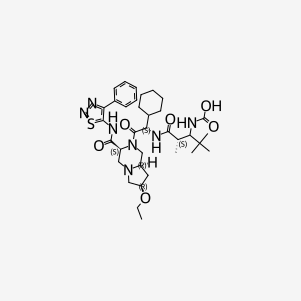 CCO[C@@H]1C[C@@H]2CN(C(=O)[C@@H](NC(=O)[C@@H](C)C(NC(=O)O)C(C)(C)C)C3CCCCC3)[C@H](C(=O)Nc3snnc3-c3ccccc3)CN2C1